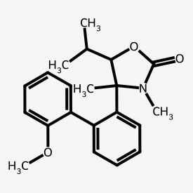 COc1ccccc1-c1ccccc1C1(C)C(C(C)C)OC(=O)N1C